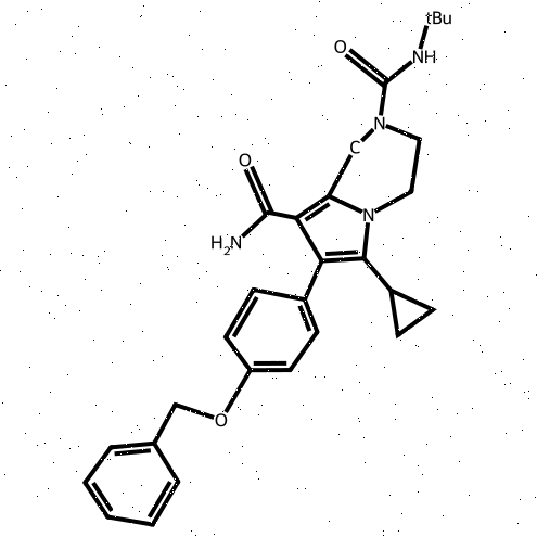 CC(C)(C)NC(=O)N1CCn2c(c(C(N)=O)c(-c3ccc(OCc4ccccc4)cc3)c2C2CC2)C1